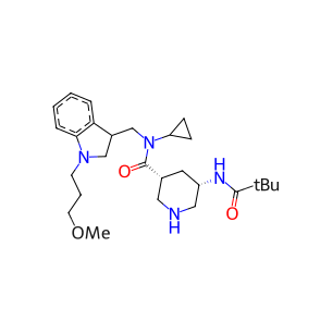 COCCCN1CC(CN(C(=O)[C@H]2CNC[C@@H](NC(=O)C(C)(C)C)C2)C2CC2)c2ccccc21